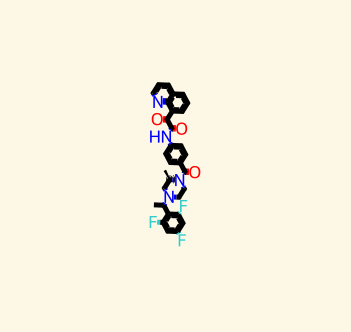 CC(c1c(F)cc(F)cc1F)N1CCN(C(=O)c2ccc(NC(=O)C(=O)c3cccc4cccnc34)cc2)[C@H](C)C1